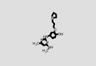 CNc1cc(C)nc(Nc2ccc(O)c(OCCCN3CCCC3)c2)n1